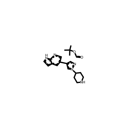 CC(C)(C)OC=O.c1cc2cc(-c3cnn(C4CCNCC4)c3)cnc2[nH]1